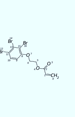 C=CC(=O)OCCOc1ccc(Br)c(Br)c1Br